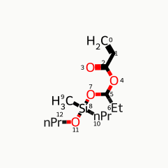 C=CC(=O)OC(CC)O[Si](C)(CCC)OCCC